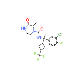 CC1C(=O)NCCN1C(=O)NC(C)(c1ccc(F)c(Cl)c1)C1CC(C(F)(F)F)C1